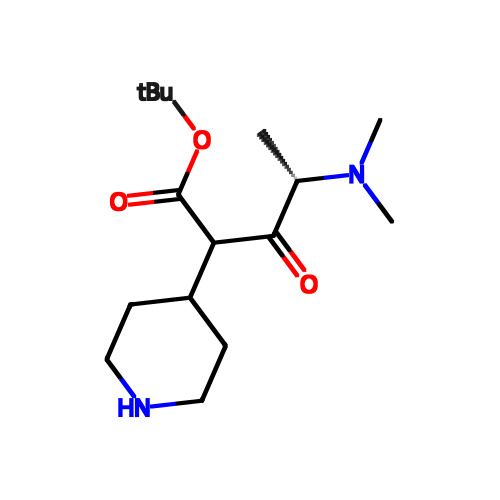 C[C@@H](C(=O)C(C(=O)OC(C)(C)C)C1CCNCC1)N(C)C